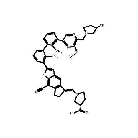 COc1nc(-c2cccc(-c3cccc(-c4cc5cc6c(c(C#N)c5o4)CC/C6=C\N4CC[C@@H](C(=O)O)C4)c3C)c2C)cnc1CN1CC[C@@H](O)C1